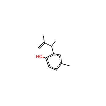 C=C(C)C(C)c1cc(C)ccc1O